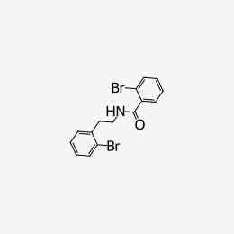 O=C(NCCc1ccccc1Br)c1ccccc1Br